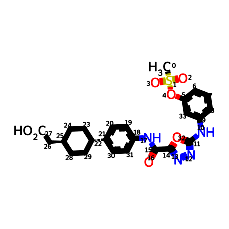 CS(=O)(=O)Oc1cccc(Nc2nnc(C(=O)Nc3ccc([C@H]4CC[C@H](CC(=O)O)CC4)cc3)o2)c1